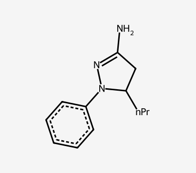 CCCC1CC(N)=NN1c1ccccc1